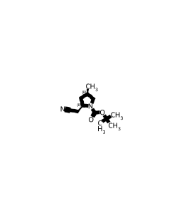 C[C@@H]1C[C@H](CC#N)N(C(=O)OC(C)(C)C)C1